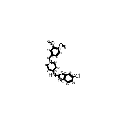 COc1ccc(CN2CCC(Nc3nc4ccc(Cl)cc4s3)CC2)cc1OC